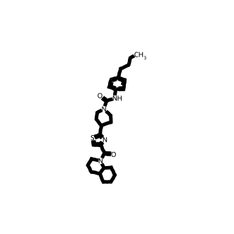 CCCCc1ccc(NC(=O)N2CCC(c3nc(C(=O)N4CCCC5CCCCC54)cs3)CC2)cc1